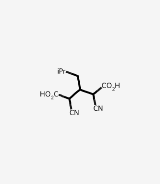 CC(C)CC(C(C#N)C(=O)O)C(C#N)C(=O)O